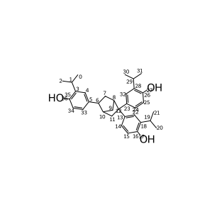 CC(C)c1cc(C2CC3CC2CC3(c2ccc(O)c(C(C)C)c2)c2ccc(O)c(C(C)C)c2)ccc1O